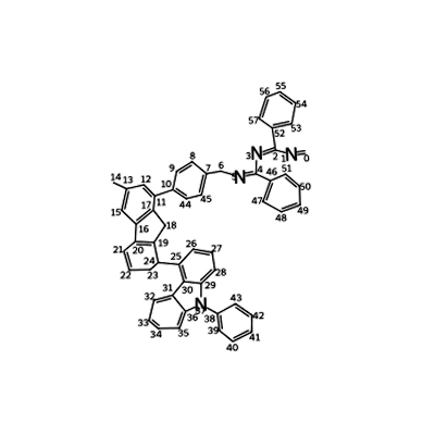 C=N/C(=N\C(=N/Cc1ccc(-c2cc(C)cc3c2CC2=C3C=CCC2c2cccc3c2c2ccccc2n3-c2ccccc2)cc1)c1ccccc1)c1ccccc1